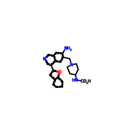 Nc1cc2cncc(-c3cc4ccccc4o3)c2cc1CN1CCC(NC(=O)O)CC1